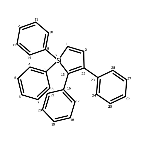 C1=C[Si](c2ccccc2)(c2ccccc2)C(c2ccccc2)=C1c1ccccc1